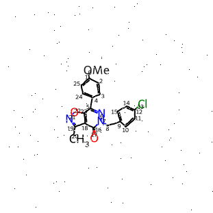 COc1ccc(-c2nn(Cc3ccc(Cl)cc3)c(=O)c3c(C)noc23)cc1